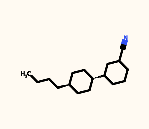 CCCC[C@H]1CC[C@H](C2CCCC(C#N)C2)CC1